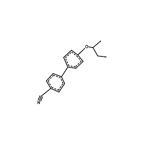 CCC(C)Oc1ccc(-c2ccc(C#N)cc2)cc1